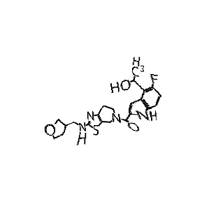 CC(O)c1c(F)ccc2[nH]c(C(=O)N3CCc4nc(NCC5CCOC5)sc4C3)cc12